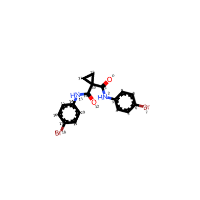 O=C(Nc1ccc(Br)cc1)C1(C(=O)Nc2ccc(Br)cc2)CC1